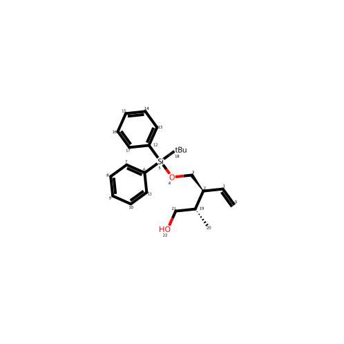 C=C[C@H](CO[Si](c1ccccc1)(c1ccccc1)C(C)(C)C)[C@H](C)CO